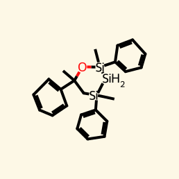 CC1(c2ccccc2)C[Si](C)(c2ccccc2)[SiH2][Si](C)(c2ccccc2)O1